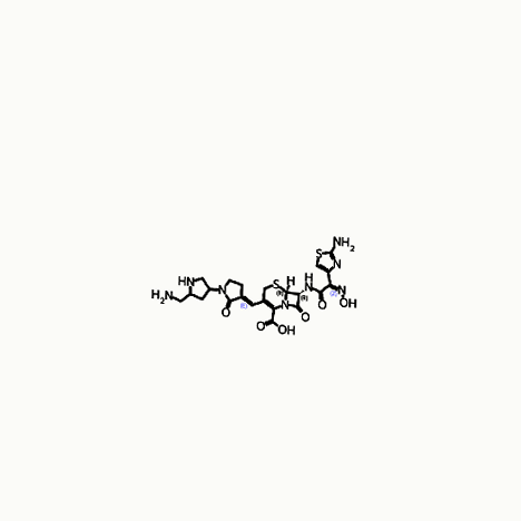 NCC1CC(N2CC/C(=C\C3=C(C(=O)O)N4C(=O)[C@@H](NC(=O)/C(=N\O)c5csc(N)n5)[C@H]4SC3)C2=O)CN1